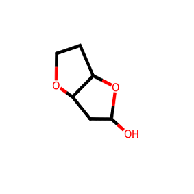 OC1CC2OCCC2O1